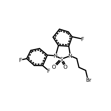 O=S1(=O)N(CCCBr)c2c(F)cccc2N1c1ccc(F)cc1F